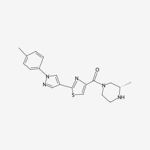 Cc1ccc(-n2cc(-c3nc(C(=O)N4CCN[C@@H](C)C4)cs3)cn2)cc1